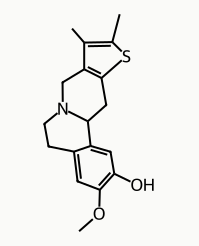 COc1cc2c(cc1O)C1Cc3sc(C)c(C)c3CN1CC2